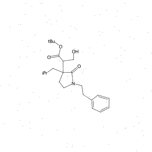 CC(C)CC1(C(CO)C(=O)OC(C)(C)C)CCN(CCc2ccccc2)C1=O